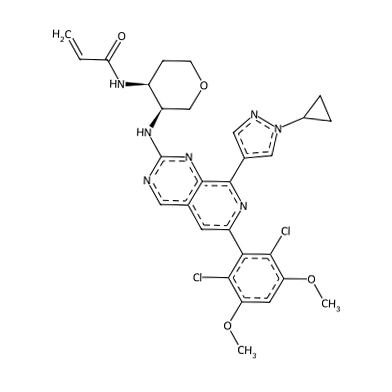 C=CC(=O)N[C@H]1CCOC[C@H]1Nc1ncc2cc(-c3c(Cl)c(OC)cc(OC)c3Cl)nc(-c3cnn(C4CC4)c3)c2n1